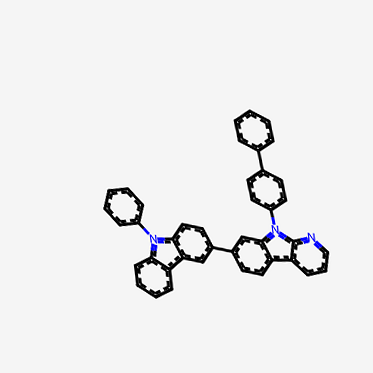 c1ccc(-c2ccc(-n3c4cc(-c5ccc6c(c5)c5ccccc5n6-c5ccccc5)ccc4c4cccnc43)cc2)cc1